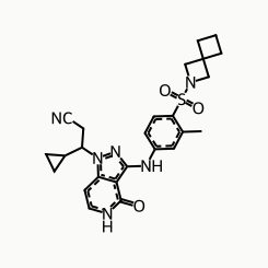 Cc1cc(Nc2nn(C(CC#N)C3CC3)c3cc[nH]c(=O)c23)ccc1S(=O)(=O)N1CC2(CCC2)C1